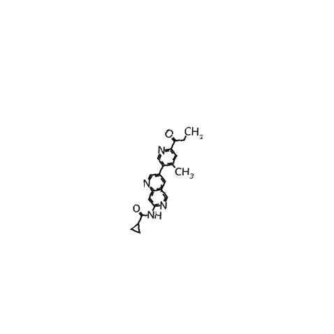 CCC(=O)c1cc(C)c(-c2cnc3cc(NC(=O)C4CC4)ncc3c2)cn1